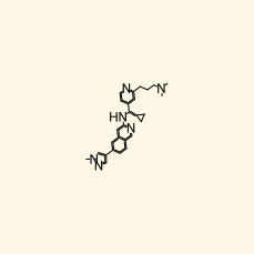 CN(C)CCCc1cc(C(Nc2cc3cc(-c4cnn(C)c4)ccc3cn2)=C2CC2)ccn1